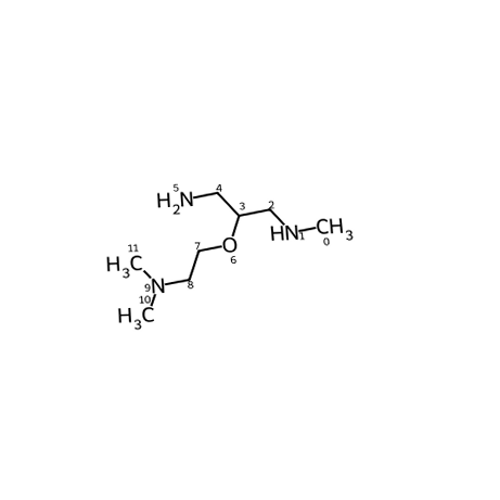 CNCC(CN)OCCN(C)C